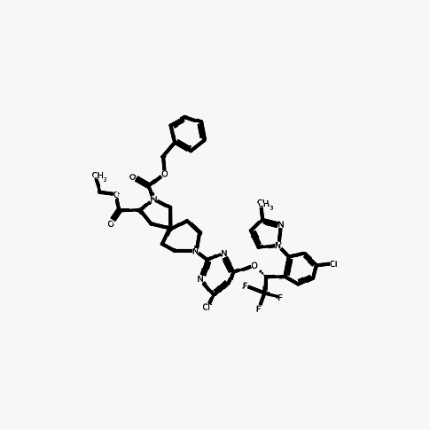 CCOC(=O)C1CC2(CCN(c3nc(Cl)cc(O[C@H](c4ccc(Cl)cc4-n4ccc(C)n4)C(F)(F)F)n3)CC2)CN1C(=O)OCc1ccccc1